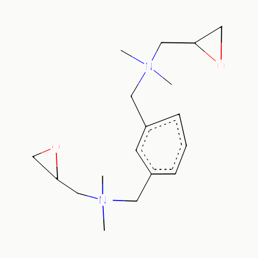 C[N+](C)(Cc1cccc(C[N+](C)(C)CC2CO2)c1)CC1CO1